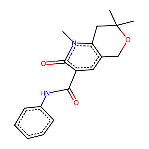 Cn1c2c(cc(C(=O)Nc3ccccc3)c1=O)COC(C)(C)C2